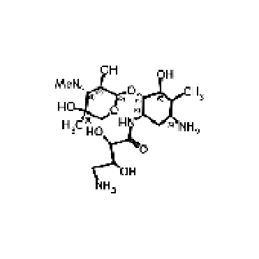 CN[C@@H]1[C@@H](O)[C@@H](O[C@H]2[C@H](NC(=O)C(O)C(O)CN)C[C@H](N)C(C)[C@@H]2O)OC[C@]1(C)O